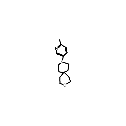 Cc1ccc(N2CCC3(CCOCC3)CC2)cn1